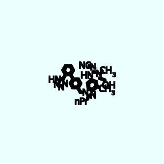 CCCc1nc2c(C)cc(N/C(=N\C#N)N(C)CCO)cc2n1Cc1ccc(-c2ccccc2-c2nnn[nH]2)cc1